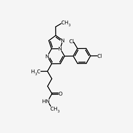 CCc1cc2nc(C(C)CCC(=O)NC)cc(-c3ccc(Cl)cc3Cl)n2n1